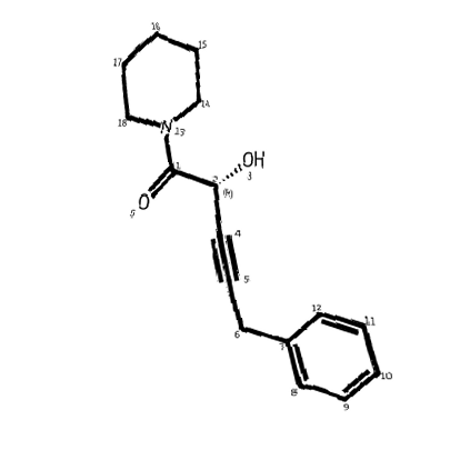 O=C([C@H](O)C#CCc1ccccc1)N1CCCCC1